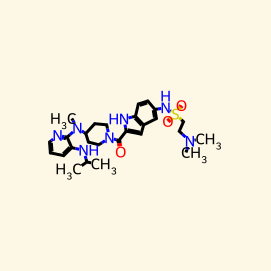 CC(C)Nc1cccnc1N(C)C1CCN(C(=O)c2cc3cc(NS(=O)(=O)CCN(C)C)ccc3[nH]2)CC1